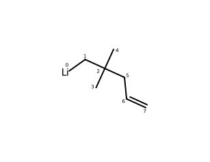 [Li][CH2]C(C)(C)CC=C